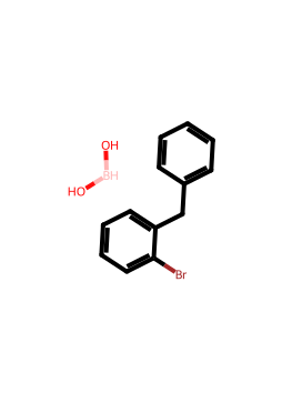 Brc1ccccc1Cc1ccccc1.OBO